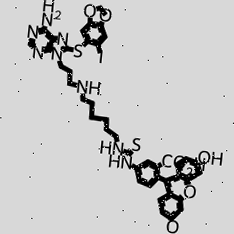 Nc1ncnc2c1nc(Sc1cc3c(cc1I)OCO3)n2CCCNCCCCCCNC(=S)Nc1ccc(-c2c3ccc(=O)cc-3oc3cc(O)ccc23)c(C(=O)O)c1